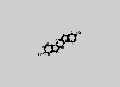 Brc1ccc2c(c1)Cc1nc3c(nc1-2)Cc1cc(Br)ccc1-3